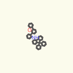 c1ccc(C2(c3ccccc3)c3ccccc3-c3c(Nc4ccccc4-c4cccc5c4oc4ccccc45)cccc32)cc1